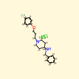 Cl.Cl.Fc1ccc(OCCCN2CCC(NCc3ccccc3)CC2)cc1